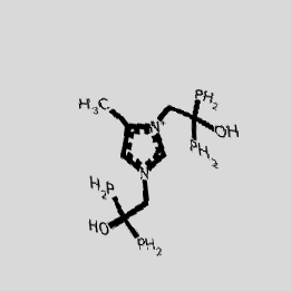 Cc1cn(CC(O)(P)P)c[n+]1CC(O)(P)P